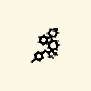 CC(Cc1ccc(F)cc1)C1(C)C=C=C(C2(c3ccccc3)CCNCC2)N=CC1